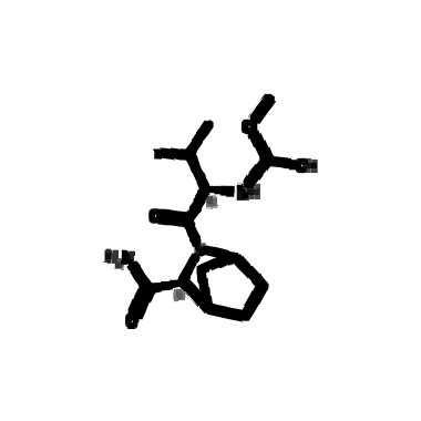 COC(O)N[C@H](C(=O)N1C2CCC(C2)[C@H]1C(N)=O)C(C)C